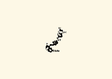 COc1ccc2ncc(F)c(CCC34CCC(NCc5ccc6c(n5)OC(=O)CN6)(CC3)CO4)c2c1